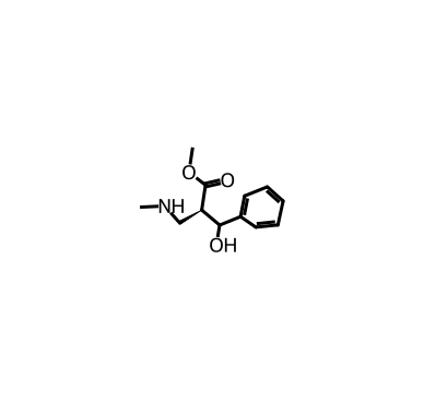 CNC[C@@H](C(=O)OC)C(O)c1ccccc1